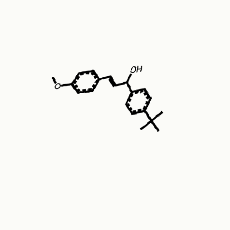 COc1ccc(/C=C/C(O)c2ccc(C(C)(C)C)cc2)cc1